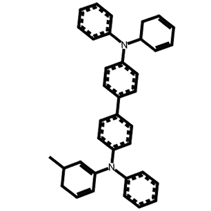 CC1C=C(N(c2ccccc2)c2ccc(-c3ccc(N(c4ccccc4)C4C=CC=CC4)cc3)cc2)C=CC1